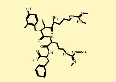 C/N=C(\NC)NCCC[C@H](N)C(=O)N(I)[C@@H](Cc1ccc(O)cc1C)C(=O)N[C@@H](CCCN/C(=N\C)NN)C(=O)N[C@@H](Cc1ccccc1)C(=O)O